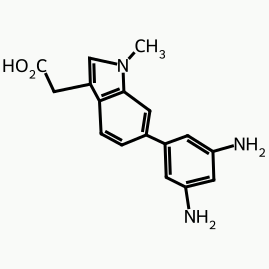 Cn1cc(CC(=O)O)c2ccc(-c3cc(N)cc(N)c3)cc21